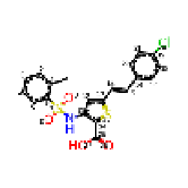 Cc1ccccc1S(=O)(=O)Nc1cc(C=Cc2ccc(Cl)cc2)sc1C(=O)O